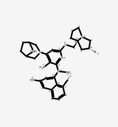 Nc1c(N2CC3CCC(C2)N3)cc(OC[C@@]23CCCN2C[C@H](F)C3)nc1N(N)c1cc(O)cc2cccc(F)c12